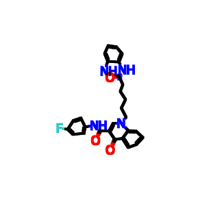 Nc1ccccc1NC(=O)CCCCCn1cc(C(=O)Nc2ccc(F)cc2)c(=O)c2ccccc21